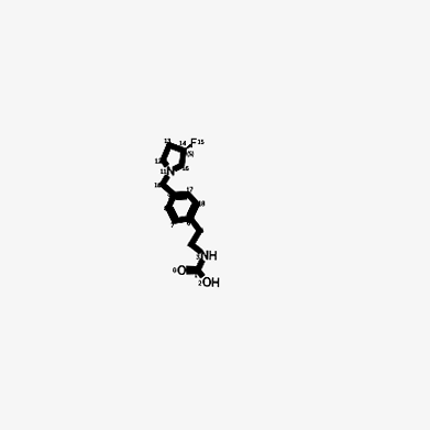 O=C(O)NCCc1ccc(CN2CC[C@H](F)C2)cc1